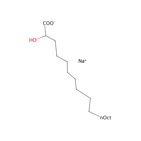 CCCCCCCCCCCCCCCCC(O)C(=O)[O-].[Na+]